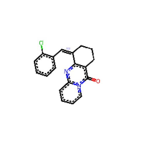 O=c1c2c(nc3ccccn13)/C(=C\c1ccccc1Cl)CCC2